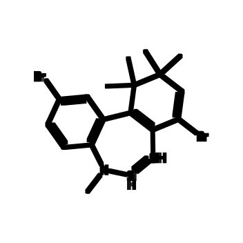 CN1[SiH]=[SiH]C2=C(c3cc(Br)ccc31)C(C)(C)C(C)(C)C=C2Br